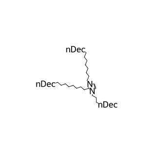 CCCCCCCCCCCCCCCCCCC1N(CCCCCCCCCCCCC)C=CN1CCCCCCCCCCCCCCCCCC